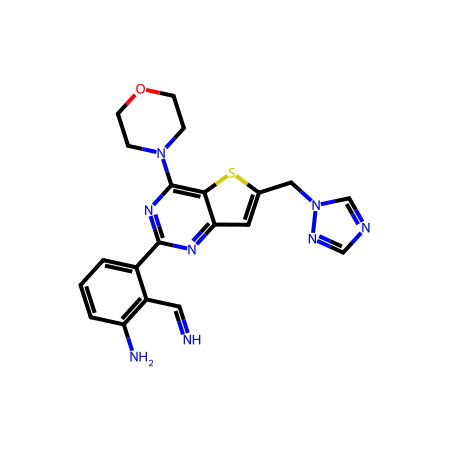 N=Cc1c(N)cccc1-c1nc(N2CCOCC2)c2sc(Cn3cncn3)cc2n1